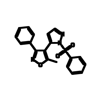 Cc1onc(-c2ccccc2)c1-c1ccnn1S(=O)(=O)c1ccccc1